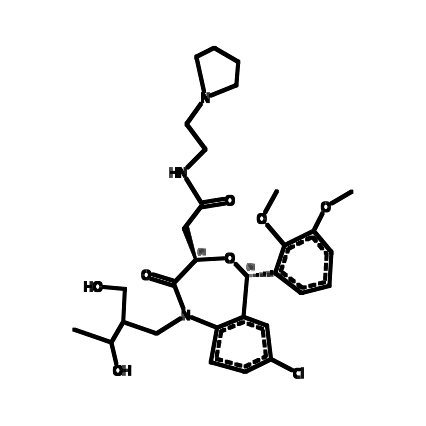 COc1cccc([C@H]2O[C@H](CC(=O)NCCN3CCCC3)C(=O)N(CC(CO)C(C)O)c3ccc(Cl)cc32)c1OC